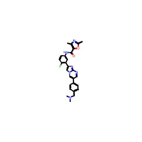 Cc1nc(C)c(C(=O)Nc2ccc(F)c(-c3cn4cc(-c5ccc(CN(C)C)cc5)cnc4n3)c2)o1